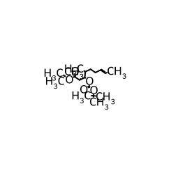 CC=CCCC(C)C(CC(=O)OC(C)(C)C)OC(=O)OC(C)(C)C